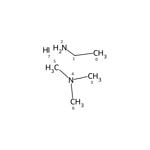 CCN.CN(C)C.I